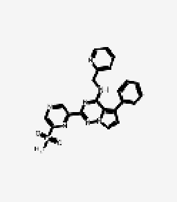 CS(=O)(=O)c1cncc(-c2nc(NCc3ccccn3)c3c(-c4ccccc4)ccn3n2)n1